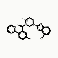 C[C@@H]1CC[C@@H](c2nc3c(Cl)cccc3o2)CN1C(=O)c1cc(F)ccc1-c1ncccn1